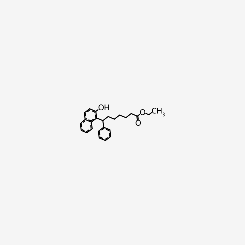 CCOC(=O)CCCCCC(c1ccccc1)c1c(O)ccc2ccccc12